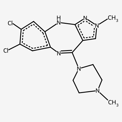 CN1CCN(C2=Nc3cc(Cl)c(Cl)cc3Nc3nn(C)cc32)CC1